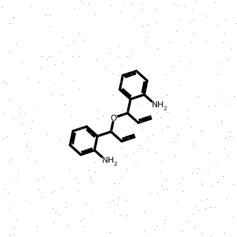 C=CC(OC(C=C)c1ccccc1N)c1ccccc1N